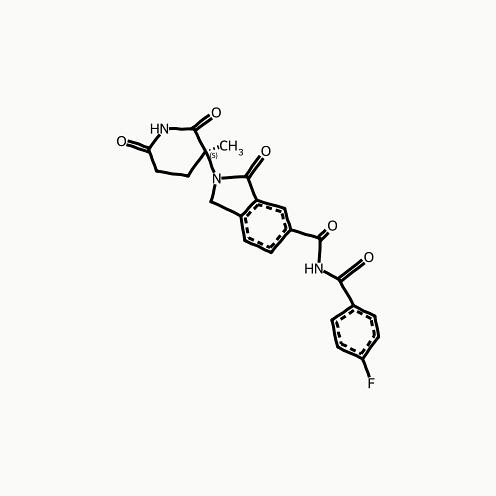 C[C@]1(N2Cc3ccc(C(=O)NC(=O)c4ccc(F)cc4)cc3C2=O)CCC(=O)NC1=O